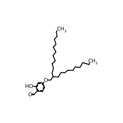 CCCCCCCCCCCCC(CCCCCCCCCC)COc1ccc(C=O)c(O)c1